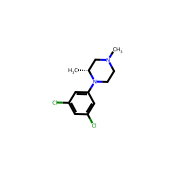 C[C@@H]1CN(C)CCN1c1cc(Cl)cc(Cl)c1